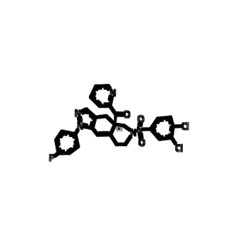 O=C(c1ccccn1)[C@]12Cc3cnn(-c4ccc(F)cc4)c3C=C1CCN(S(=O)(=O)c1ccc(Cl)c(Cl)c1)C2